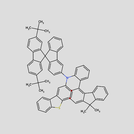 CC(C)(C)c1ccc2c(c1)C1(c3ccccc3-c3cc(N(c4ccc5sc6ccccc6c5c4)c4ccccc4-c4cccc5c4-c4ccccc4C5(C)C)ccc31)c1cc(C(C)(C)C)ccc1-2